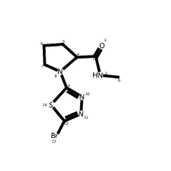 CNC(=O)C1CCCN1c1nnc(Br)s1